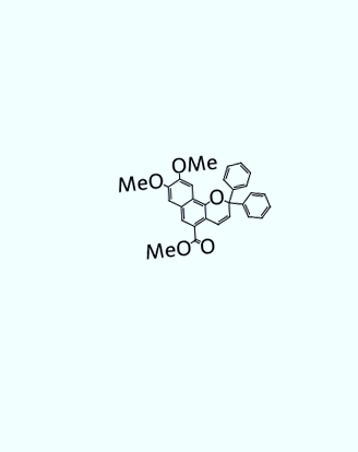 COC(=O)c1cc2cc(OC)c(OC)cc2c2c1C=CC(c1ccccc1)(c1ccccc1)O2